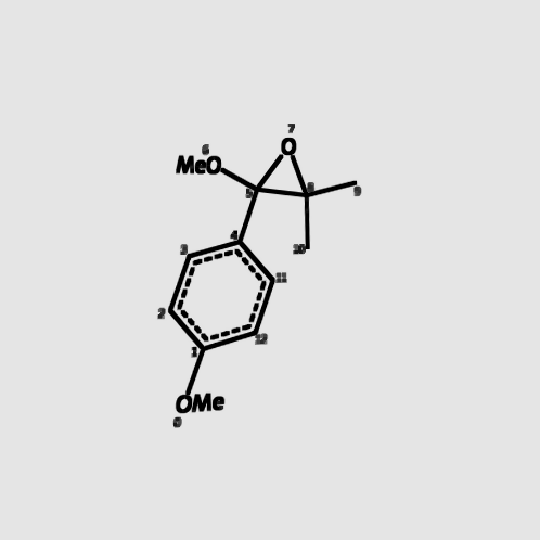 COc1ccc(C2(OC)OC2(C)C)cc1